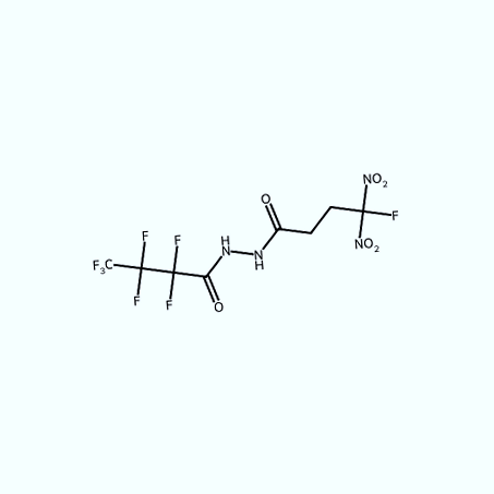 O=C(CCC(F)([N+](=O)[O-])[N+](=O)[O-])NNC(=O)C(F)(F)C(F)(F)C(F)(F)F